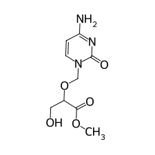 COC(=O)C(CO)OCn1ccc(N)nc1=O